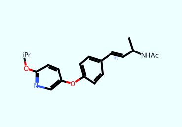 CC(=O)NC(C)/C=C/c1ccc(Oc2ccc(OC(C)C)nc2)cc1